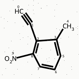 C#Cc1c(C)cccc1[N+](=O)[O-]